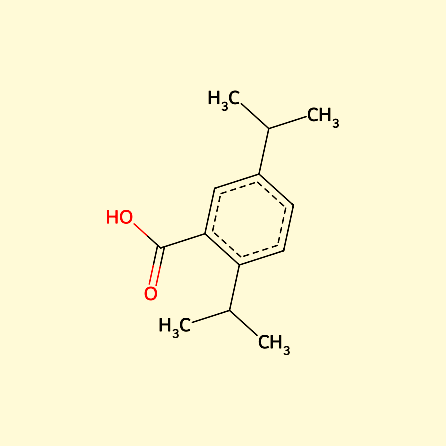 CC(C)c1ccc(C(C)C)c(C(=O)O)c1